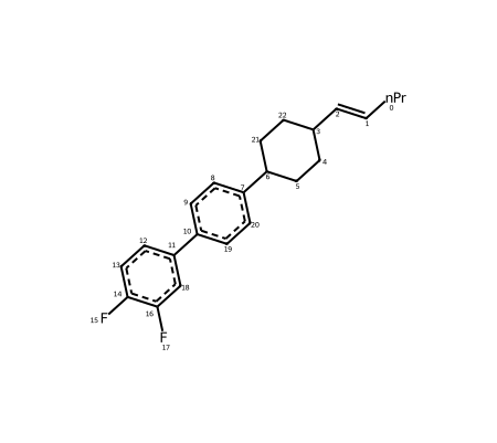 CCC/C=C/C1CCC(c2ccc(-c3ccc(F)c(F)c3)cc2)CC1